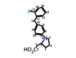 O=C(O)CC1CCCN1c1ccc(Cc2ccccc2F)cc1